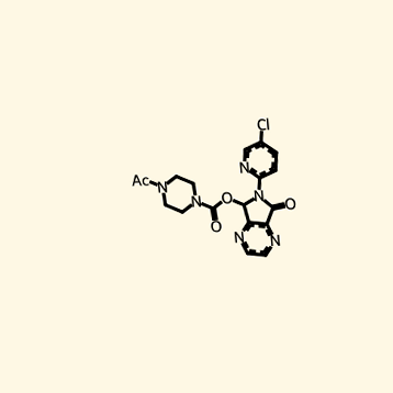 CC(=O)N1CCN(C(=O)OC2c3nccnc3C(=O)N2c2ccc(Cl)cn2)CC1